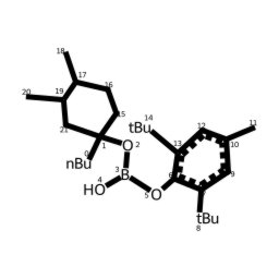 CCCCC1(OB(O)Oc2c(C(C)(C)C)cc(C)cc2C(C)(C)C)CCC(C)C(C)C1